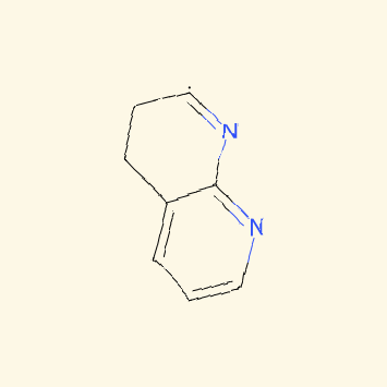 [C]1=Nc2ncccc2CC1